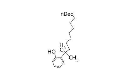 CCCCCCCCCCCCCCCCCC(C)(C)c1ccccc1O